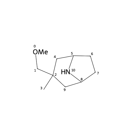 COCC1(C)CC2CCC(C1)N2